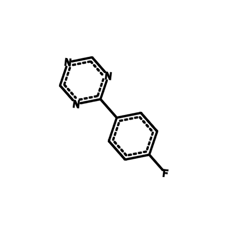 Fc1ccc(-c2ncncn2)cc1